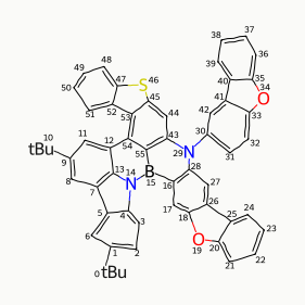 CC(C)(C)c1ccc2c(c1)c1cc(C(C)(C)C)cc3c1n2B1c2cc4oc5ccccc5c4cc2N(c2ccc4oc5ccccc5c4c2)c2cc4sc5ccccc5c4c-3c21